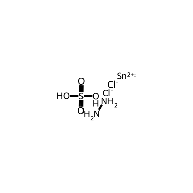 NN.O=S(=O)(O)O.[Cl-].[Cl-].[Sn+2]